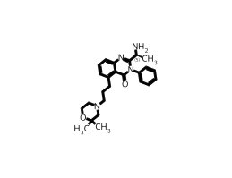 C[C@H](N)c1nc2cccc(CCCN3CCOC(C)(C)C3)c2c(=O)n1-c1ccccc1